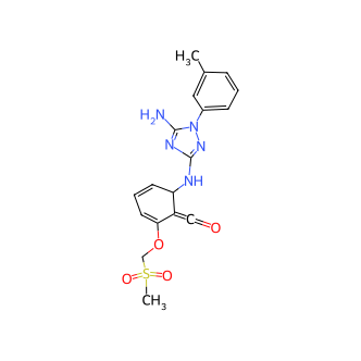 Cc1cccc(-n2nc(NC3C=CC=C(OCS(C)(=O)=O)C3=C=O)nc2N)c1